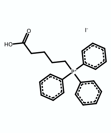 O=C(O)CCCC[P+](c1ccccc1)(c1ccccc1)c1ccccc1.[I-]